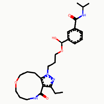 CCc1nn(CCCOC(O)c2cccc(C(=O)NC(C)C)c2)c2c1C(=O)NCCCOCCC2